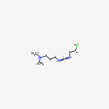 CN(C)CCCN=C=NCCCl